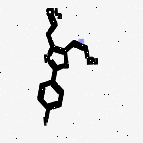 C=CCc1nc(-c2ccc(F)cc2)sc1/C=C\C(C)CC